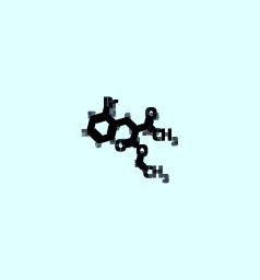 CCOC(=O)C(Cc1ccccc1Br)C(C)=O